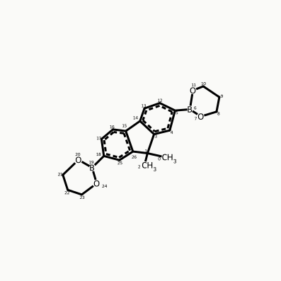 CC1(C)c2cc(B3OCCCO3)ccc2-c2ccc(B3OCCCO3)cc21